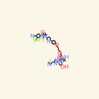 CC(C)(C)[C@H](NC(=O)COCCCCOc1ccc(-c2ccc(N3C(=S)N(c4ccc(C#N)c(C(F)(F)F)c4F)C(=O)C3(C)C)cn2)cc1)C(=O)N1C[C@H](O)C[C@H]1c1nc(-c2cncs2)c[nH]1